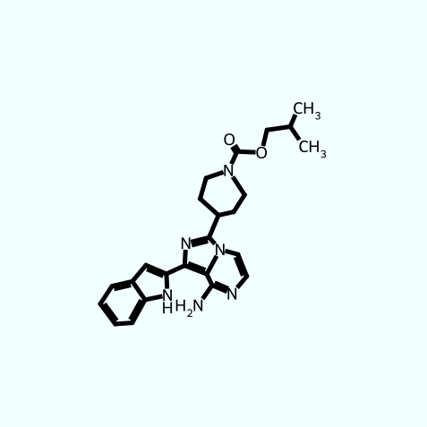 CC(C)COC(=O)N1CCC(c2nc(-c3cc4ccccc4[nH]3)c3c(N)nccn23)CC1